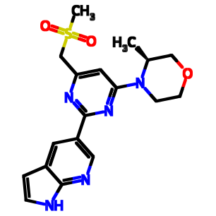 C[C@H]1COCCN1c1cc(CS(C)(=O)=O)nc(-c2cnc3[nH]ccc3c2)n1